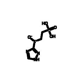 O=P(O)(O)CC[S+]([O-])c1nc[nH]n1